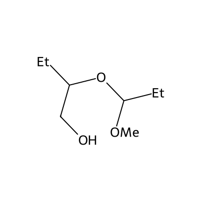 CCC(CO)OC(CC)OC